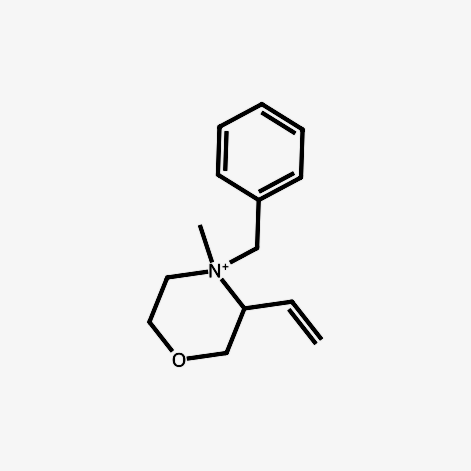 C=CC1COCC[N+]1(C)Cc1ccccc1